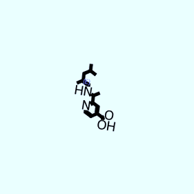 C/C(=C\NC(C)c1cc(C(=O)O)ccn1)CC(C)C